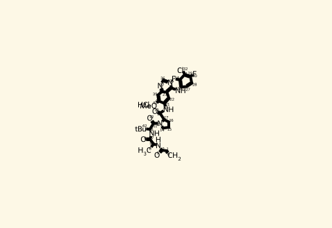 C=CC(=O)NC(C)C(=O)NC(C(=O)N1CCCC1C(=O)Nc1cc2c(Nc3ccc(F)c(Cl)c3F)ncnc2cc1OC)C(C)(C)C.Cl